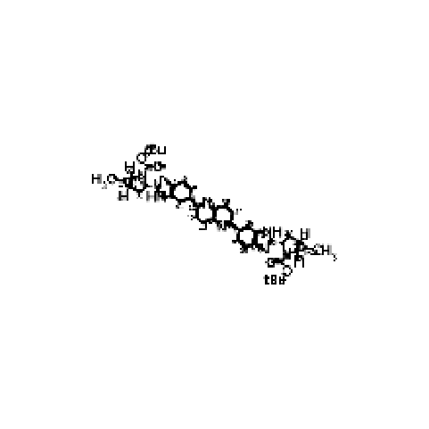 C[C@@H]1[C@@H]2C[C@@H](c3nc4ccc(-c5ccc6nc(-c7ccc8nc([C@@H]9C[C@H]%10[C@@H](C)[C@H]%10N9C(=O)OC(C)(C)C)[nH]c8c7)ccc6n5)cc4[nH]3)N(C(=O)OC(C)(C)C)[C@H]12